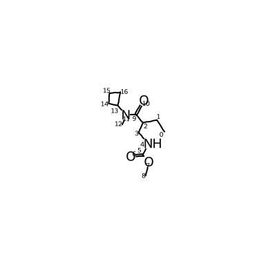 CCC(CNC(=O)OC)C(=O)N(C)C1CCC1